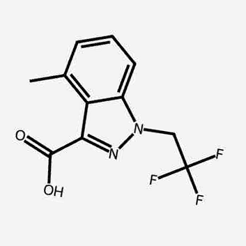 Cc1cccc2c1c(C(=O)O)nn2CC(F)(F)F